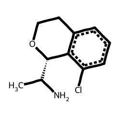 CC(N)[C@@H]1OCCc2cccc(Cl)c21